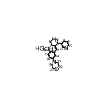 C(=C1CCCN=C1c1cccnc1)c1cccc(N2CCOCC2)c1.Cl.Cl